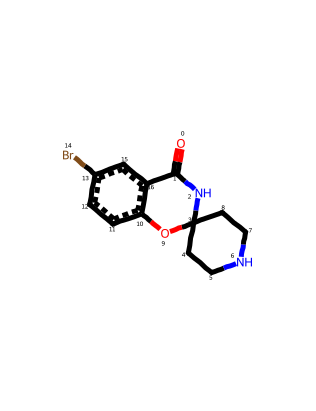 O=C1NC2(CCNCC2)Oc2ccc(Br)cc21